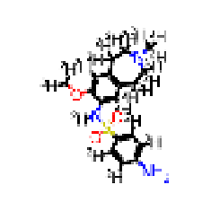 [2H]c1c([2H])c(S(=O)(=O)N([2H])c2c([2H])c3c(c([2H])c2OC([2H])[2H])C([2H])([2H])C([2H])([2H])N(C([2H])([2H])[2H])C([2H])([2H])C3([2H])[2H])c([2H])c([2H])c1N